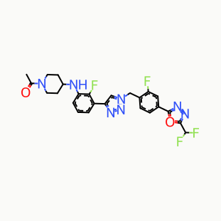 CC(=O)N1CCC(Nc2cccc(-c3cn(Cc4ccc(-c5nnc(C(F)F)o5)cc4F)nn3)c2F)CC1